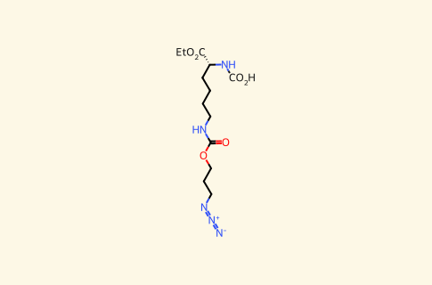 CCOC(=O)[C@@H](CCCCNC(=O)OCCCN=[N+]=[N-])NC(=O)O